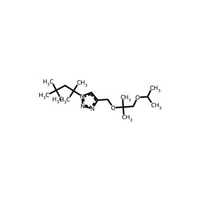 CC(C)OCC(C)(C)OCc1cn(C(C)(C)CC(C)(C)C)nn1